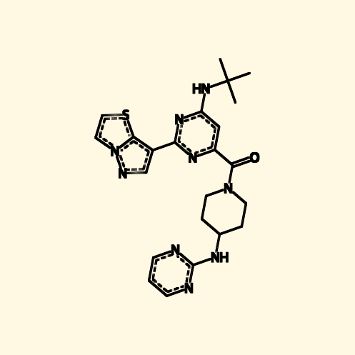 CC(C)(C)Nc1cc(C(=O)N2CCC(Nc3ncccn3)CC2)nc(-c2cnn3ccsc23)n1